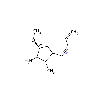 C=C/C=C\C1C[C@H](OC)C(N)C1C